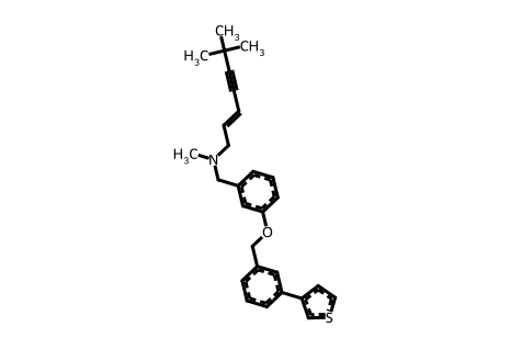 CN(CC=CC#CC(C)(C)C)Cc1cccc(OCc2cccc(-c3ccsc3)c2)c1